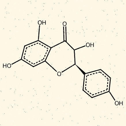 O=C1c2c(O)cc(O)cc2O[C@H](c2ccc(O)cc2)C1O